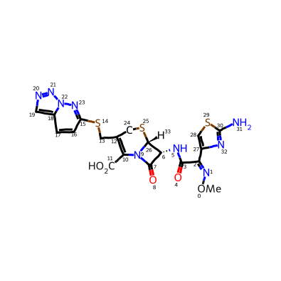 CO/N=C(\C(=O)N[C@@H]1C(=O)N2C(C(=O)O)=C(CSc3ccc4cnnn4n3)CS[C@H]12)c1csc(N)n1